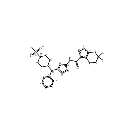 CC1(C)CCc2c(C(=O)Nc3cnn(C(c4ccccc4)C4CCN(S(C)(=O)=O)CC4)c3)n[nH]c2C1